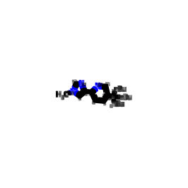 CCC[CH2][Sn]([CH2]CCC)([CH2]CCC)[c]1ccc(-c2cn(C)cn2)nc1